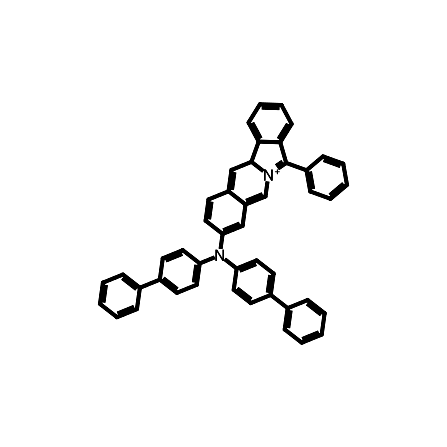 C1=c2ccc(N(c3ccc(-c4ccccc4)cc3)c3ccc(-c4ccccc4)cc3)cc2=C[N+]2=C(c3ccccc3)c3ccccc3C12